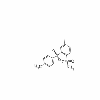 Cc1ccc(S(N)(=O)=O)c(S(=O)(=O)c2ccc(N)cc2)c1